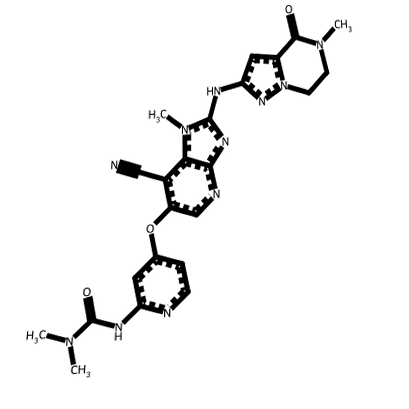 CN(C)C(=O)Nc1cc(Oc2cnc3nc(Nc4cc5n(n4)CCN(C)C5=O)n(C)c3c2C#N)ccn1